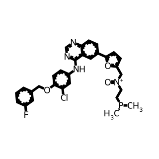 CP(C)CC[N+](=O)Cc1ccc(-c2ccc3ncnc(Nc4ccc(OCc5cccc(F)c5)c(Cl)c4)c3c2)o1